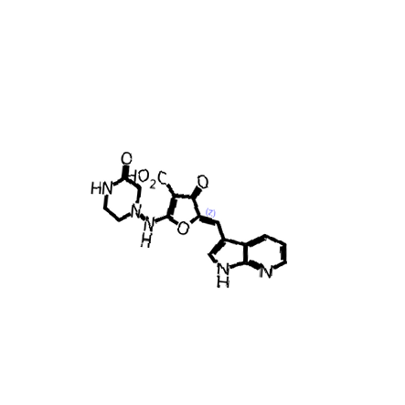 O=C1CN(NC2=C(C(=O)O)C(=O)/C(=C/c3c[nH]c4ncccc34)O2)CCN1